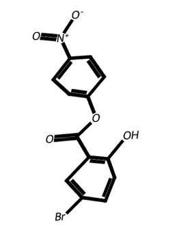 O=C(Oc1ccc([N+](=O)[O-])cc1)c1cc(Br)ccc1O